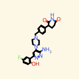 Nc1nnc(-c2cc(F)ccc2O)cc1N1CCN(Cc2ccc(C3CCC(=O)NC3=O)cc2)CC1